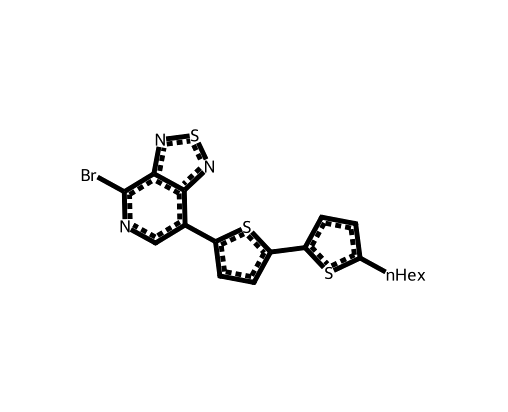 CCCCCCc1ccc(-c2ccc(-c3cnc(Br)c4nsnc34)s2)s1